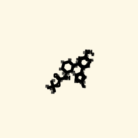 Cn1cc(-c2cnc(N)nc2N2CCC[C@@H](NC(=O)OC(C)(C)C)C2)cn1